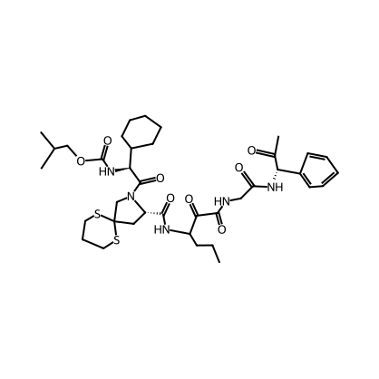 CCCC(NC(=O)[C@@H]1CC2(CN1C(=O)[C@@H](NC(=O)OCC(C)C)C1CCCCC1)SCCCS2)C(=O)C(=O)NCC(=O)N[C@H](C(C)=O)c1ccccc1